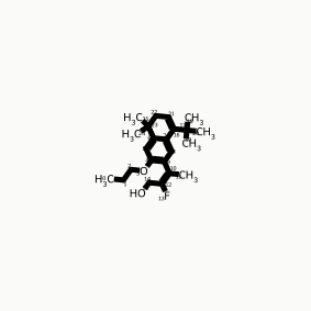 CCCOc1cc2c(cc1/C(C)=C(/F)CO)C(C(C)(C)C)=CCC2(C)C